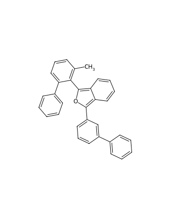 Cc1cccc(-c2ccccc2)c1-c1oc(-c2cccc(-c3ccccc3)c2)c2ccccc12